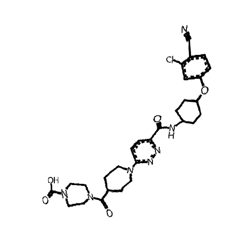 N#Cc1ccc(OC2CCC(NC(=O)c3ccc(N4CCC(C(=O)N5CCN(C(=O)O)CC5)CC4)nn3)CC2)cc1Cl